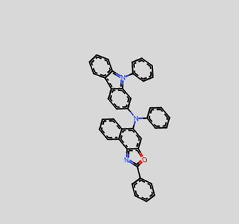 c1ccc(-c2nc3c(cc(N(c4ccccc4)c4ccc5c6ccccc6n(-c6ccccc6)c5c4)c4ccccc43)o2)cc1